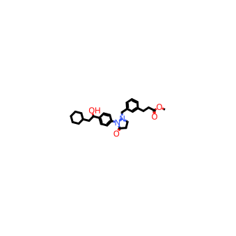 COC(=O)CCc1cccc(CN2CCC(=O)N2c2ccc(C(O)CC3CCCCC3)cc2)c1